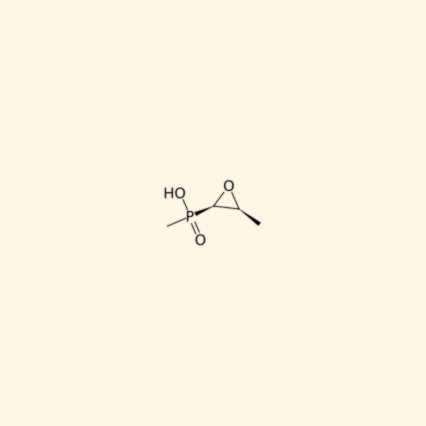 C[C@@H]1O[C@@H]1P(C)(=O)O